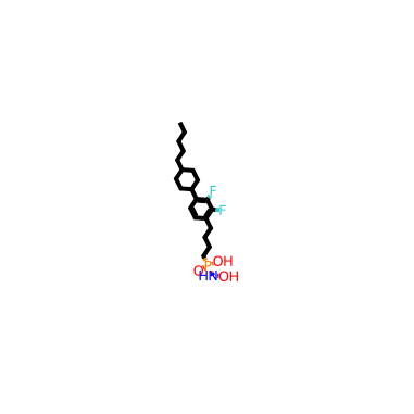 CCCCCC1CCC(c2ccc(CCCCP(=O)(O)NO)c(F)c2F)CC1